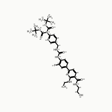 CCNc1nc(-c2ccc(NC(=O)NCc3ccc(N(C(=O)OC(C)(C)C)C(=O)OC(C)(C)C)nc3)c(F)c2)ccc1C(=O)NCCO